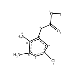 COC(=O)Cc1cc(Cl)cc(N)c1N